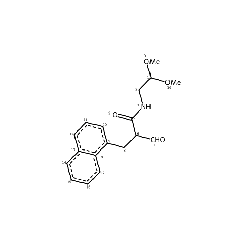 COC(CNC(=O)C(C=O)Cc1cccc2ccccc12)OC